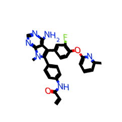 C=CC(=O)Nc1ccc(-c2c(-c3ccc(Oc4cccc(C)n4)c(F)c3)c3c(N)ncnc3n2C)cc1